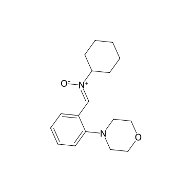 [O-][N+](=Cc1ccccc1N1CCOCC1)C1CCCCC1